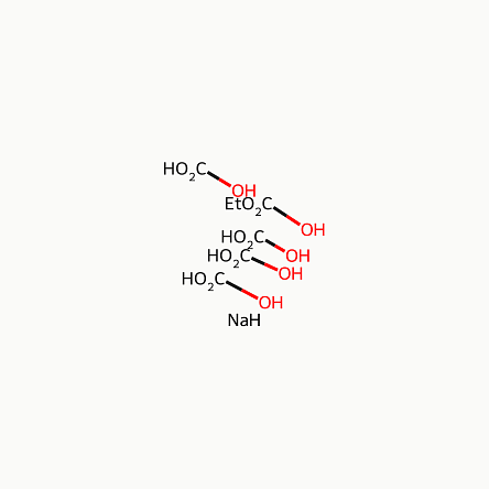 CCOC(=O)O.O=C(O)O.O=C(O)O.O=C(O)O.O=C(O)O.[NaH]